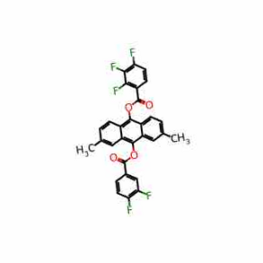 Cc1ccc2c(OC(=O)c3ccc(F)c(F)c3F)c3ccc(C)cc3c(OC(=O)c3ccc(F)c(F)c3)c2c1